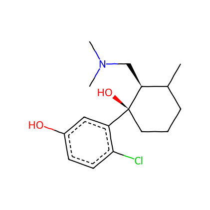 CC1CCC[C@](O)(c2cc(O)ccc2Cl)[C@H]1CN(C)C